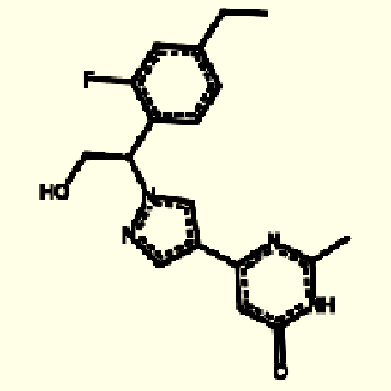 CCc1ccc([C@H](CO)n2cc(-c3cc(=O)[nH]c(C)n3)cn2)c(F)c1